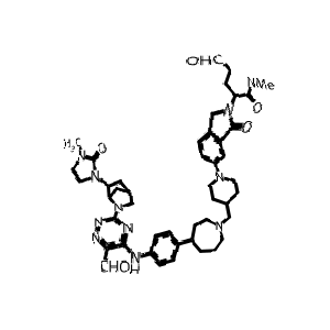 CNC(=O)C(CCC=O)N1Cc2ccc(N3CCC(CN4CCCC(c5ccc(Nc6nc(N7CC8CC(N9CCN(C)C9=O)C7C8)nnc6C=O)cc5)CC4)CC3)cc2C1=O